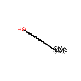 CO[Si](CCCCCCCCCCCCCCCCCCCCCCCCCO)(OC)OC